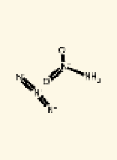 N[N+](=O)[O-].[N-]=[N+]=[N-]